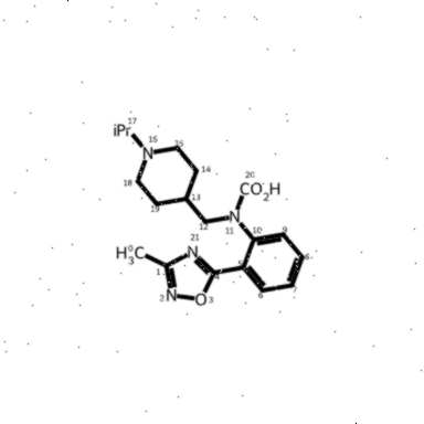 Cc1noc(-c2ccccc2N(CC2CCN(C(C)C)CC2)C(=O)O)n1